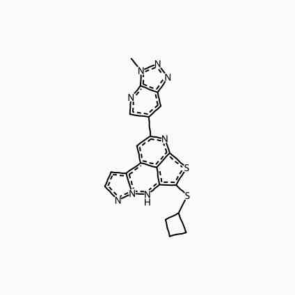 Cn1nnc2cc(-c3cc4c5c(n3)sc(SC3CCC3)c5[nH]n3nccc43)cnc21